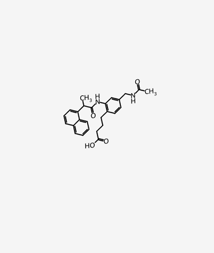 CC(=O)NCc1ccc(CCCC(=O)O)c(NC(=O)C(C)c2cccc3ccccc23)c1